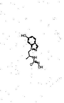 C[C@@H](Cn1ncc2ccc(O)cc21)N/[N+]([O-])=N/O